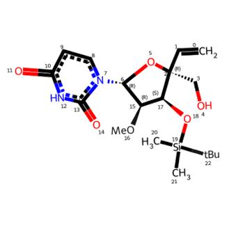 C=C[C@]1(CO)O[C@@H](n2ccc(=O)[nH]c2=O)[C@H](OC)[C@@H]1O[Si](C)(C)C(C)(C)C